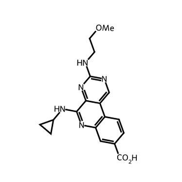 COCCNc1ncc2c(n1)c(NC1CC1)nc1cc(C(=O)O)ccc12